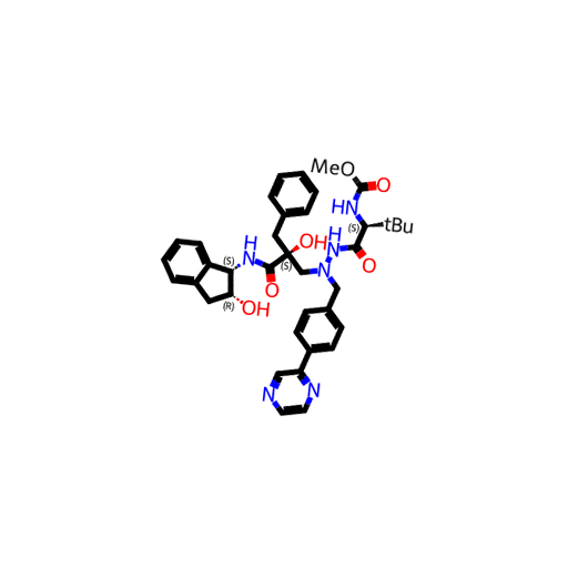 COC(=O)N[C@H](C(=O)NN(Cc1ccc(-c2cnccn2)cc1)C[C@@](O)(Cc1ccccc1)C(=O)N[C@H]1c2ccccc2C[C@H]1O)C(C)(C)C